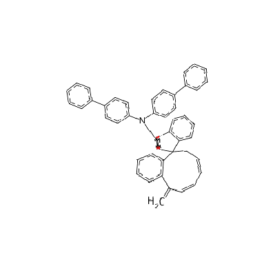 C=C1/C=C\C=C/CC2(c3ccccc31)c1ccccc1-c1c(N(c3ccc(-c4ccccc4)cc3)c3ccc(-c4ccccc4)cc3)cccc12